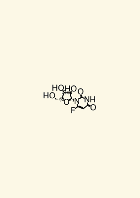 O=c1cc(F)n([C@@H]2O[C@H](CO)[C@@H](O)[C@H]2O)c(=O)[nH]1